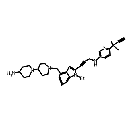 C#CC(C)(C)c1ccc(NCC#Cc2cc3c(CN4CCC(N5CCC(N)CC5)CC4)cccc3n2CC)cn1